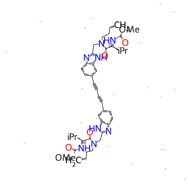 C=CCCN(Cc1nc2ccc(C#CC#Cc3ccc4nc(CN(CCC=C)C(=O)[C@@H](NC(=O)OC)C(C)C)[nH]c4c3)cc2[nH]1)C(=O)[C@@H](NC(=O)OC)C(C)C